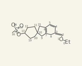 CCOC=C1C=CC2=C(C1)CC1(CCC(OS(C)(=O)=O)CC1)C2